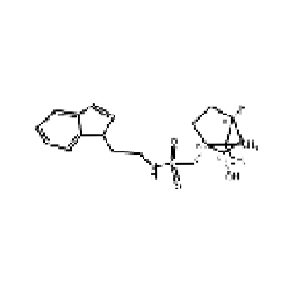 CC1(C)[C@H]2CC[C@]1(CS(=O)(=O)NCCC1C=Cc3ccccc31)[C@@H](O)C2